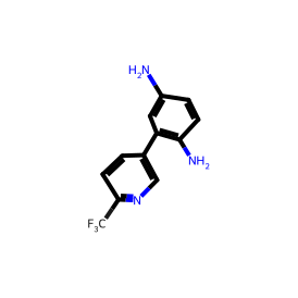 Nc1ccc(N)c(-c2ccc(C(F)(F)F)nc2)c1